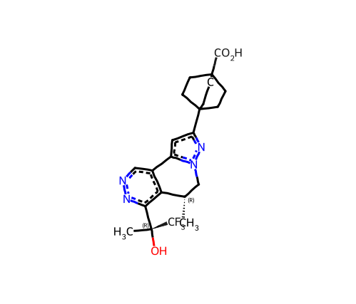 C[C@H]1Cn2nc(C34CCC(C(=O)O)(CC3)CC4)cc2-c2cnnc([C@@](C)(O)C(F)(F)F)c21